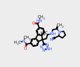 C=C(CN[C@@H](C)CC1(c2nn[nH]n2)c2ccc(C(=O)NC)cc2-c2cc(C(=O)N(C)C)ccc21)N1CCCC1C#N